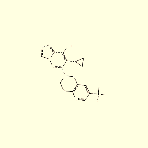 Cc1c(C2CC2)c(N2CCc3ncc(C(F)(F)F)cc3C2)nn2cnnc12